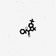 CC1(C(=O)C(C#N)=C2CC(C)(C)c3cc(C(C)(C)C)ccc32)CCCCC1